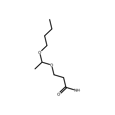 CCCCOC(C)OCCC([NH])=O